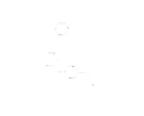 CC(C)(C)[Si](C)(C)Oc1ccc(CC(NC(=O)OCc2ccccc2)C(=O)O)cc1